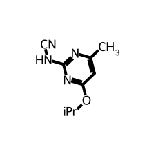 Cc1cc(OC(C)C)nc(NC#N)n1